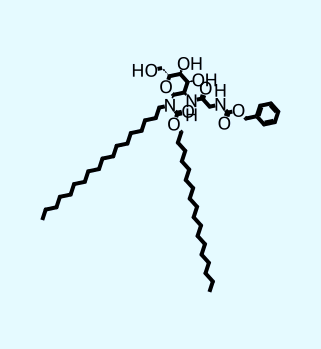 CCCCCCCCCCCCCCCCCCOC(=O)N(CCCCCCCCCCCCCCCCCC)[C@@H]1O[C@H](CO)[C@@H](O)[C@H](O)[C@H]1NC(=O)CNC(=O)OCc1ccccc1